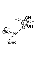 CCCCCCCCCCCCCCN(CCCCO[C@@H]1O[C@H](CO)[C@@H](O)[C@H](O)[C@H]1O)CCCP(=O)(O)O